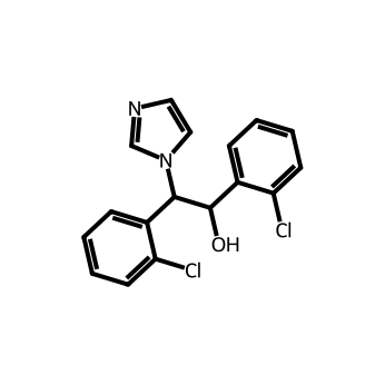 OC(c1ccccc1Cl)C(c1ccccc1Cl)n1ccnc1